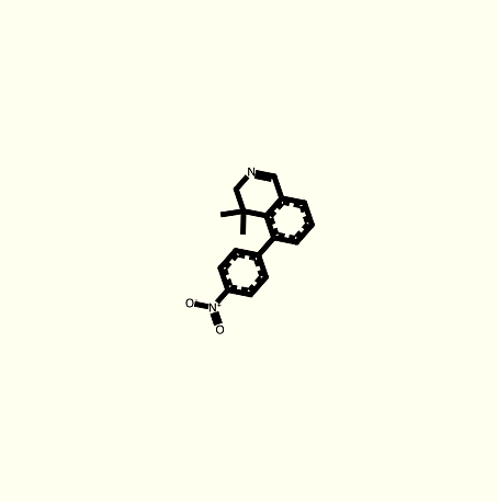 CC1(C)CN=Cc2cccc(-c3ccc([N+](=O)[O-])cc3)c21